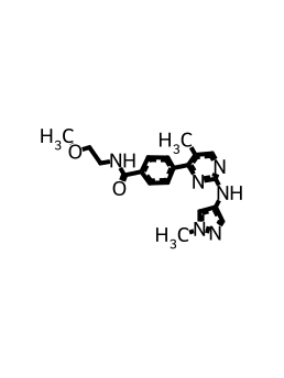 COCCNC(=O)c1ccc(-c2nc(Nc3cnn(C)c3)ncc2C)cc1